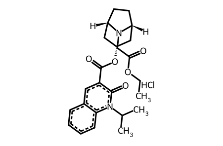 CCOC(=O)CN1[C@@H]2CC[C@H]1C[C@@H](OC(=O)c1cc3ccccc3n(C(C)C)c1=O)C2.Cl